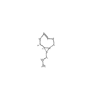 CCOCC1C2CC/C=C/CCC21